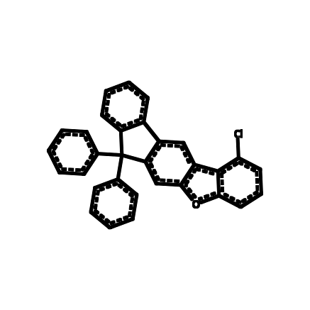 Clc1cccc2oc3cc4c(cc3c12)-c1ccccc1C4(c1ccccc1)c1ccccc1